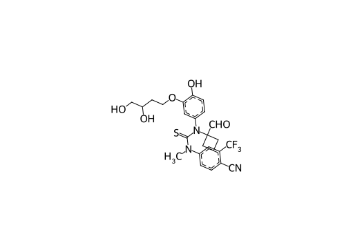 CN(C(=S)N(c1ccc(O)c(OCCC(O)CO)c1)C1(C=O)CCC1)c1ccc(C#N)c(C(F)(F)F)c1